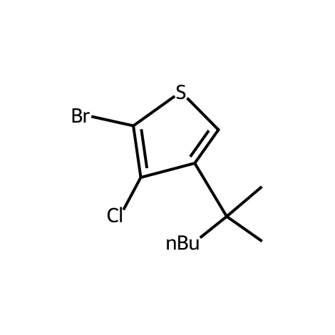 CCCCC(C)(C)c1csc(Br)c1Cl